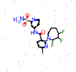 Cc1ccc(C(=O)Nc2ccnc(S(N)(=O)=O)c2)c(N2CCCC(F)C(F)C2F)n1